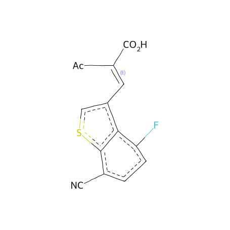 CC(=O)/C(=C\c1csc2c(C#N)ccc(F)c12)C(=O)O